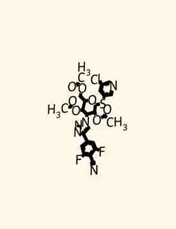 CC(=O)OCC1OC(Sc2cncc(Cl)c2)C(OC(C)=O)C(n2cc(-c3cc(F)c(C#N)c(F)c3)nn2)C1OC(C)=O